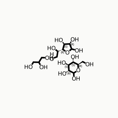 OCC(O)CO.OCC(O)[C@H]1OC(O)[C@H](O)[C@@H]1O.OC[C@H]1OC(O)[C@H](O)[C@@H](O)[C@@H]1O